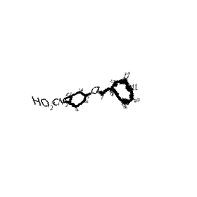 O=C(O)N1C2CCC(OCc3ccccc3)CC21